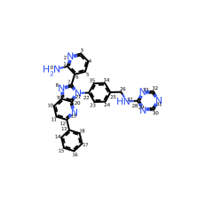 Nc1ncccc1-c1nc2ccc(-c3ccccc3)nc2n1-c1ccc(CNc2ncncn2)cc1